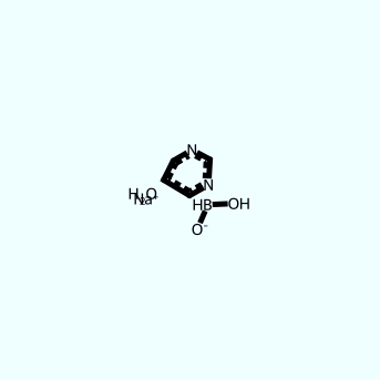 O.[Na+].[O-]BO.c1cncnc1